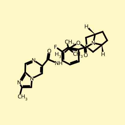 Cc1cn2cc(C(=O)Nc3ccc(N4C[C@H]5CC[C@@H](C4)N5C(=O)OC(C)(C)C)cc3F)ncc2n1